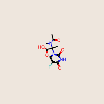 CC(=O)N(C)C(C)(C(=O)O)n1cc(F)c(=O)[nH]c1=O